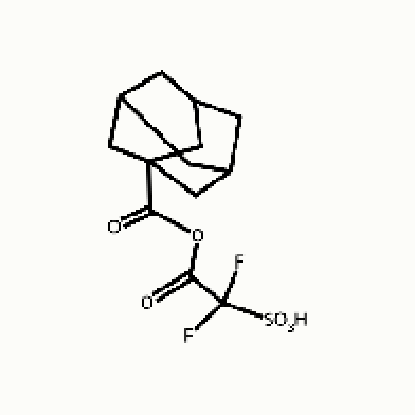 O=C(OC(=O)C(F)(F)S(=O)(=O)O)C12CC3CC(CC(C3)C1)C2